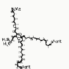 CCCCC/C=C\C/C=C\CCCCCCCCC1(CCCCCCCC/C=C\C/C=C\CCCCC)OC(CCOCCCCCCNC)C(CCN(C)C)O1